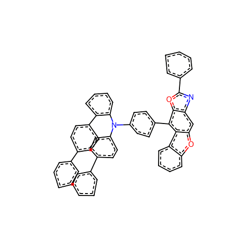 c1ccc(-c2ccc(-c3ccccc3N(c3ccc(-c4ccccc4)cc3)c3ccc(-c4c5oc(-c6ccccc6)nc5cc5oc6ccccc6c45)cc3)cc2)cc1